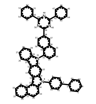 c1ccc(-c2ccc(-n3c4cc5c(cc4c4c6ccccc6ccc43)c3ccccc3n5-c3cccc4cc(-c5nc(-c6ccccc6)nc(-c6ccccc6)n5)ccc34)cc2)cc1